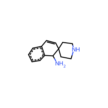 NC1c2ccccc2C=CC12CCNCC2